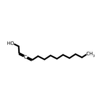 CCCCCCCCCC=C=CCO